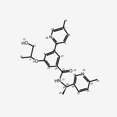 Cc1ccc(-c2cc(OC(C)CO)cc(C(=O)N[C@H](C)c3ccc(C)nc3)c2)nc1